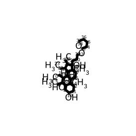 CCC1C(CC)C2(O)CC(O)CC[C@]2(C)[C@@H]2CC[C@@]3(C)[C@@H](C(CC)C(CC)C3(O)CCCOC3CCCCO3)[C@H]12